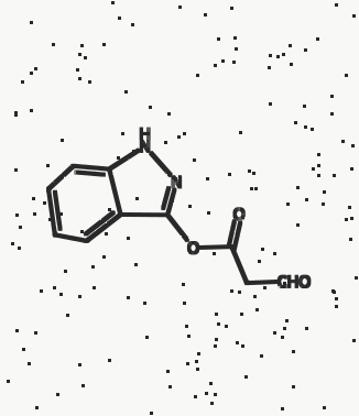 O=CCC(=O)Oc1n[nH]c2ccccc12